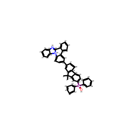 CC1(C)c2cc(-c3ccc4c(c3)c3ccccc3c3nc5ccccc5n43)ccc2-c2ccc(P(=O)(c3ccccc3)c3ccccc3)cc21